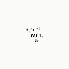 O.[Fe].[MgH2].[Ni]